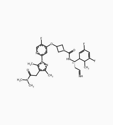 Cc1nn(-c2cc(OC3CN(C(=O)N[C@@H](CC=N)C4C=C(F)C=C(F)C4C)C3)c(F)cn2)c(C)c1CC(=O)N(C)C